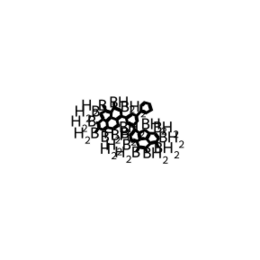 Bc1c(B)c2c3c(c1B)c(B)c(B)c1c(B)c(B)c(-c4cc(-c5ccccc5)cc(-c5c(B)c(B)c6c(B)c(B)c7c(B)c(B)c(B)c8c(B)c(B)c5c6c78)c4)c(c13)C2B